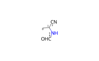 CC(C#N)NC=O